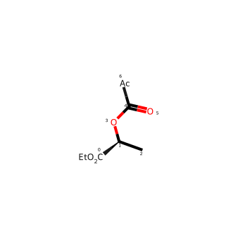 CCOC(=O)[C@H](C)OC(=O)C(C)=O